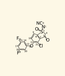 N#CN=S1(=O)CC(=O)c2c1ccc(Oc1cc(F)cc(F)c1)c2Cl